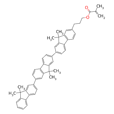 C=C(C)C(=O)OCCCc1ccc2c(c1)C(C)(C)c1cc(-c3ccc4c(c3)C(C)(C)c3cc(-c5ccc6c(c5)C(C)(C)c5ccccc5-6)ccc3-4)ccc1-2